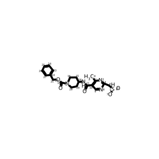 Cc1nc(C[SH](=O)=O)ncc1C(=O)NC1CCN(C(=O)OCc2ccccc2)CC1